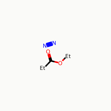 CCOC(=O)CC.N#N